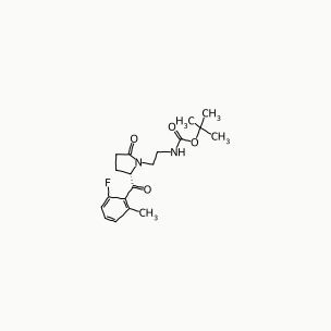 Cc1cccc(F)c1C(=O)[C@@H]1CCC(=O)N1CCNC(=O)OC(C)(C)C